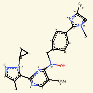 COc1cnc(-c2c(C)cnn2C2CC2)nc1N(O)Cc1ccc(-c2nc(C(F)(F)F)cn2C)cc1